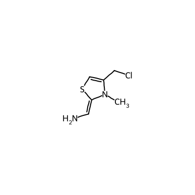 CN1C(CCl)=CSC1=CN